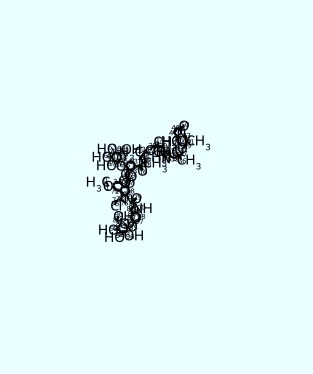 COc1ccc2c(OS(=O)(=O)Oc3cc(C(=O)N(C)CC(C)(C)COCC(C)(C)Cn4cc(CC(C)(C)COCC(C)(C)CN5C(=O)C=CC5=O)nn4)ccc3O[C@@H]3O[C@H](CO)[C@H](O)[C@H](O)[C@H]3O)cc3c(c2c1)[C@H](CCl)CN3C(=O)c1cc2cc(O[C@@H]3O[C@H](CO)[C@H](O)[C@H](O)[C@H]3O)ccc2[nH]1